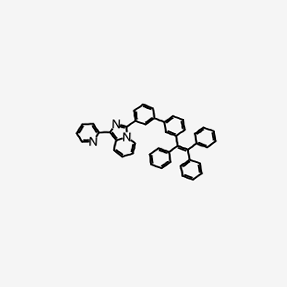 c1ccc(C(=C(c2ccccc2)c2cccc(-c3cccc(-c4nc(-c5ccccn5)c5ccccn45)c3)c2)c2ccccc2)cc1